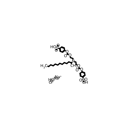 CCCCCCCCCCCC(C)N(CCOC(=O)Oc1ccc(S(=O)(=O)O)cc1)CCOC(=O)Oc1ccc(S(=O)(=O)O)cc1.Cl.[Cl-].[Cl-].[Na+].[Na+]